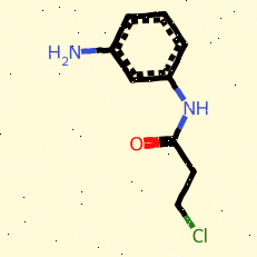 Nc1cccc(NC(=O)CCCl)c1